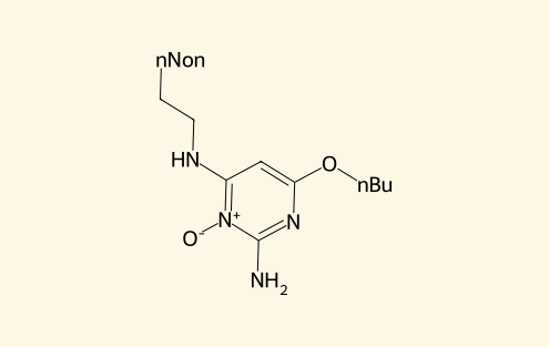 CCCCCCCCCCCNc1cc(OCCCC)nc(N)[n+]1[O-]